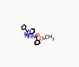 CCOc1ccccc1C(=O)Nc1cccn2c(C3CCCC3)nnc12